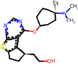 CC[C@]1(N(C)C)CC[C@@H](Oc2ncnc3sc4c(c23)[C@@H](CCO)CC4)CC1